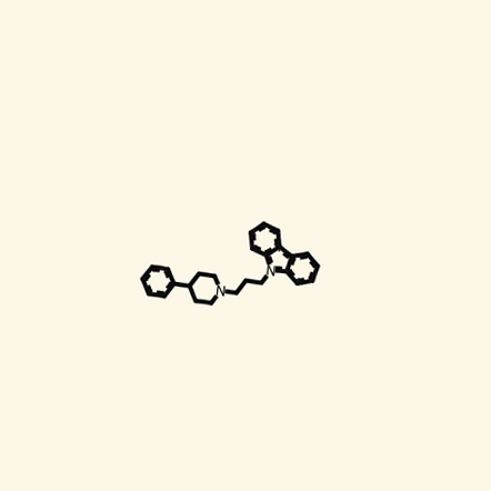 c1ccc(C2CCN(CCCn3c4ccccc4c4ccccc43)CC2)cc1